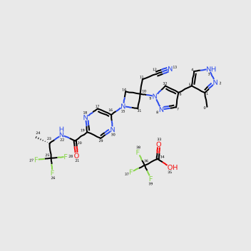 Cc1n[nH]cc1-c1cnn(C2(CC#N)CN(c3cnc(C(=O)N[C@@H](C)C(F)(F)F)cn3)C2)c1.O=C(O)C(F)(F)F